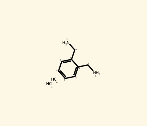 Cl.Cl.NCc1ccccc1CN